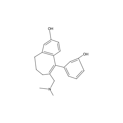 CN(C)CC1=C(c2cccc(O)c2)c2ccc(O)cc2CCC1